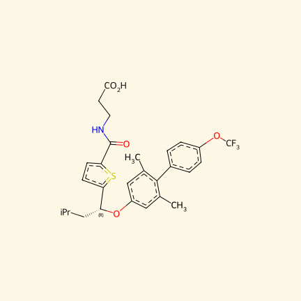 Cc1cc(O[C@H](CC(C)C)c2ccc(C(=O)NCCC(=O)O)s2)cc(C)c1-c1ccc(OC(F)(F)F)cc1